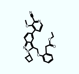 CCOC(=O)Cc1ccccc1OCc1c2cc(-c3ccnc(C#N)c3OC)ccc2nn1C1CCC1